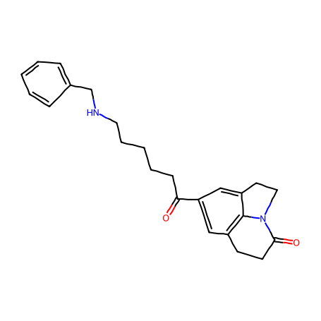 O=C(CCCCCNCc1ccccc1)c1cc2c3c(c1)CCN3C(=O)CC2